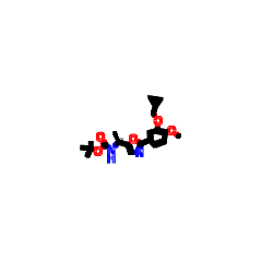 COc1ccc(-c2ncc([C@H](C)NC(=O)OC(C)(C)C)o2)cc1OCC1CC1